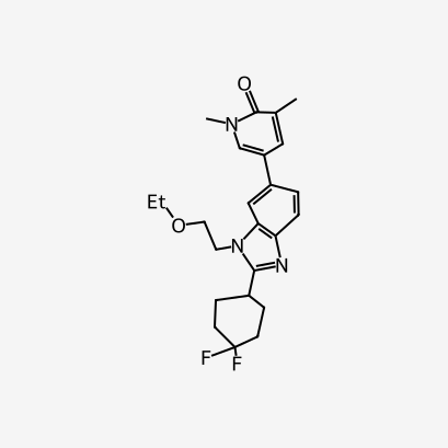 CCOCCn1c(C2CCC(F)(F)CC2)nc2ccc(-c3cc(C)c(=O)n(C)c3)cc21